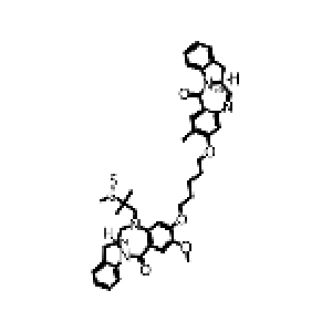 COc1cc2c(cc1OCCCCCOc1cc3c(cc1C)C(=O)N1c4ccccc4C[C@H]1C=N3)N(CC(C)(C)S(C)=S)C[C@@H]1Cc3ccccc3N1C2=O